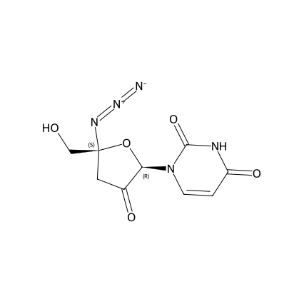 [N-]=[N+]=N[C@@]1(CO)CC(=O)[C@H](n2ccc(=O)[nH]c2=O)O1